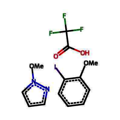 COc1ccccc1I.COn1cccn1.O=C(O)C(F)(F)F